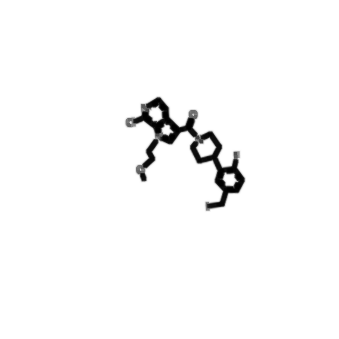 COCCn1cc(C(=O)N2CCC(c3cc(CI)ccc3F)CC2)c2ccnc(Cl)c21